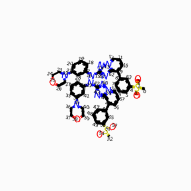 CS(=O)(=O)c1cccc(-c2cccn3nc(N(c4cccc(N5CCOCC5)c4)N(c4cccc(N5CCOCC5)c4)c4nc5c(-c6cccc(S(C)(=O)=O)c6)cccn5n4)nc23)c1